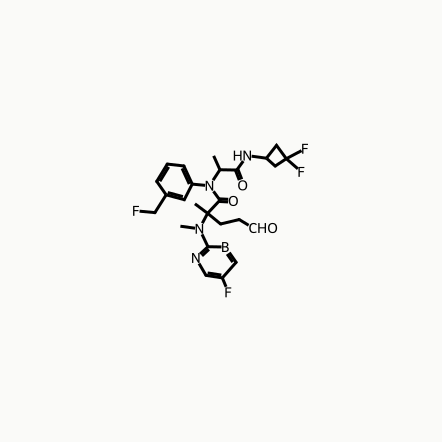 CC(C(=O)NC1CC(F)(F)C1)N(C(=O)C(C)(CCC=O)N(C)c1bcc(F)cn1)c1cccc(CF)c1